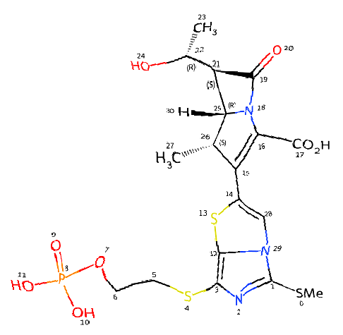 CSc1nc(SCCOP(=O)(O)O)c2sc(C3=C(C(=O)O)N4C(=O)[C@H]([C@@H](C)O)[C@H]4[C@H]3C)cn12